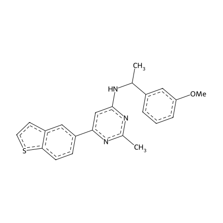 COc1cccc(C(C)Nc2cc(-c3ccc4sccc4c3)nc(C)n2)c1